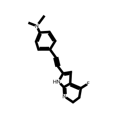 CN(C)c1ccc(C#Cc2cc3c([nH]2)=NCCC=3F)cc1